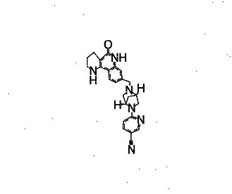 N#Cc1ccc(N2C[C@@H]3C[C@H]2CN3Cc2ccc3c4c(c(=O)[nH]c3c2)CCCN4)nc1